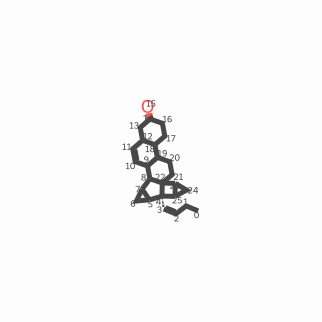 CC/C=C\[C@]12C3CC3C3C4C=CC5CC(=O)CCC5C4CCC31C1CC12